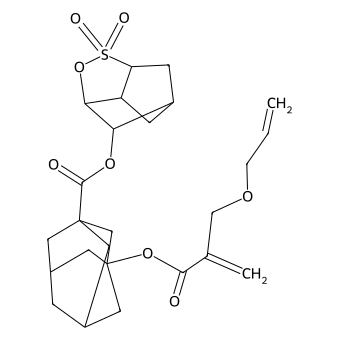 C=CCOCC(=C)C(=O)OC12CC3CC(C1)CC(C(=O)OC1C4CC5C1OS(=O)(=O)C5C4)(C3)C2